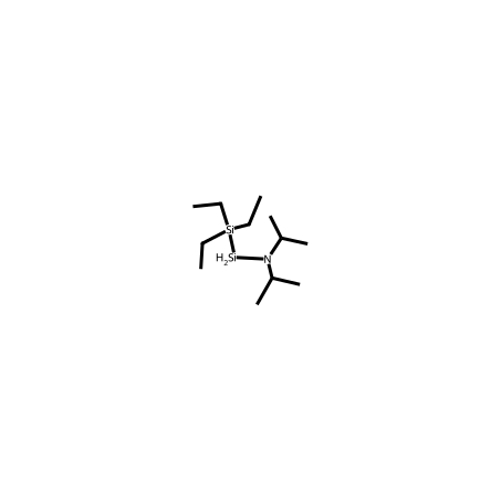 CC[Si](CC)(CC)[SiH2]N(C(C)C)C(C)C